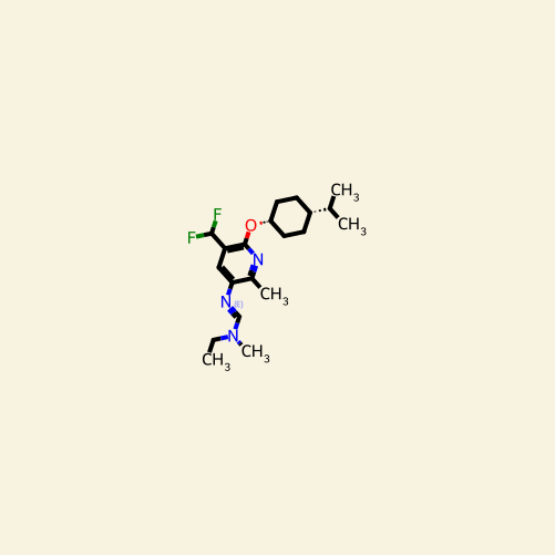 CCN(C)/C=N/c1cc(C(F)F)c(O[C@H]2CC[C@@H](C(C)C)CC2)nc1C